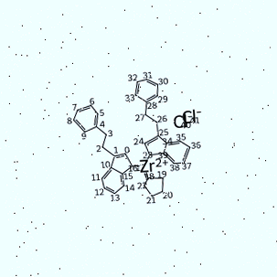 C1=C(CCc2ccccc2)c2ccccc2[CH]1[Zr+2](=[C]1CCCC1)[CH]1C=C(CCc2ccccc2)c2ccccc21.[Cl-].[Cl-]